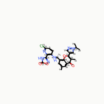 Cc1cc([C@@H](C)Nc2ccc(Cl)nc2-c2noc(=O)[nH]2)c2oc(-c3cnn(C(C)C)c3)c(C)c(=O)c2c1